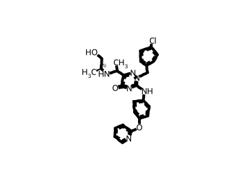 CC(N[C@@H](C)CO)c1nn(Cc2ccc(Cl)cc2)c(Nc2ccc(Oc3ccccn3)cc2)nc1=O